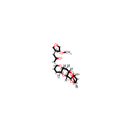 CO[C@H]1COC[C@@H]1CC(=O)C[C@H]1CC[C@@H]2O[C@H]3C4O[C@@H]5C[C@H]4O[C@H]3[C@@H](O5)[C@H]2O1